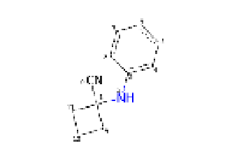 N#CC1(Nc2ccccc2)CCC1